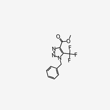 COC(=O)c1nnn(Cc2ccccc2)c1C(F)(F)F